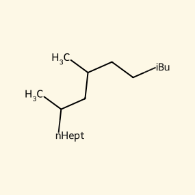 [CH2]CC(C)CCC(C)CC(C)CCCCCCC